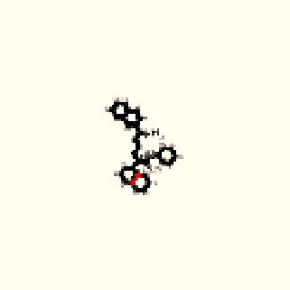 NC(C=CCC(=C(NC1CCCCC1)NC1CCCCC1)c1ccccc1)c1ccc2ccccc2c1